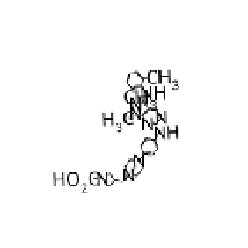 Cc1cccc(C)c1Nc1nn(C)c2nc(Nc3ccc(N4CCN(CC5CN(C(=O)O)C5)CC4)cc3)ncc12